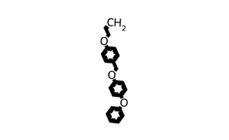 C=CCOc1ccc(COc2ccc(Oc3ccccc3)cc2)cc1